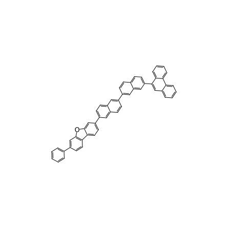 c1ccc(-c2ccc3c(c2)oc2cc(-c4ccc5cc(-c6ccc7ccc(-c8cc9ccccc9c9ccccc89)cc7c6)ccc5c4)ccc23)cc1